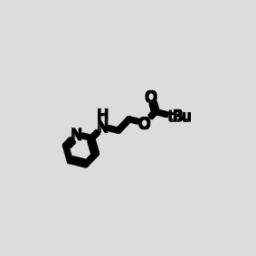 CC(C)(C)C(=O)OCCNc1ccccn1